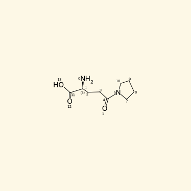 N[C@@H](CCC(=O)N1CCCC1)C(=O)O